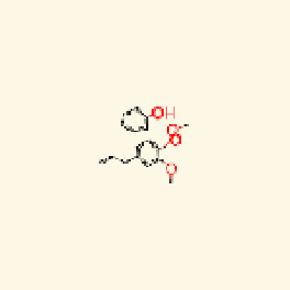 C=CCc1ccc(OOC)c(OC)c1.Oc1ccccc1